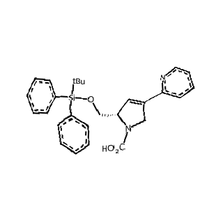 CC(C)(C)[Si](OC[C@@H]1C=C(c2ccccn2)CN1C(=O)O)(c1ccccc1)c1ccccc1